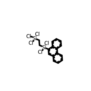 Cl[Si](Cl)(Cl)CC[Si](Cl)(Cl)c1cc2ccccc2c2ccccc12